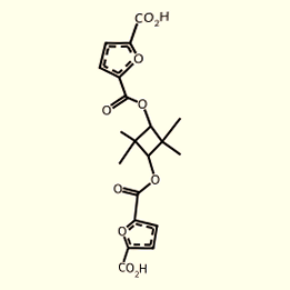 CC1(C)C(OC(=O)c2ccc(C(=O)O)o2)C(C)(C)C1OC(=O)c1ccc(C(=O)O)o1